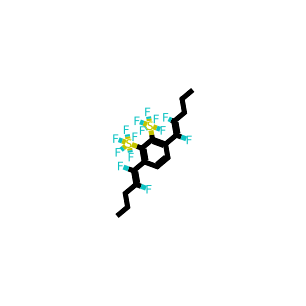 CCC/C(F)=C(\F)c1ccc(/C(F)=C(\F)CCC)c(S(F)(F)(F)(F)F)c1S(F)(F)(F)(F)F